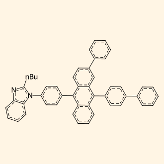 CCCCc1nc2ccccc2n1-c1ccc(-c2c3ccccc3c(-c3ccc(-c4ccccc4)cc3)c3cc(-c4ccccc4)ccc23)cc1